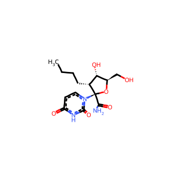 CCCC[C@@H]1[C@H](O)[C@@H](CO)O[C@@]1(C(N)=O)n1ccc(=O)[nH]c1=O